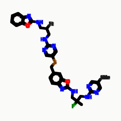 CCC(CNc1ncc(SCc2ccc3nc(NCC(C)(F)CNc4ncc(SC)cn4)oc3c2)cn1)CNc1nc2ccccc2o1